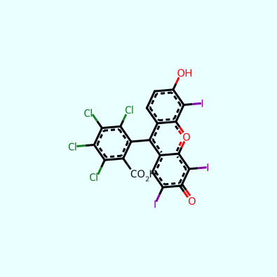 O=C(O)c1c(Cl)c(Cl)c(Cl)c(Cl)c1-c1c2cc(I)c(=O)c(I)c-2oc2c(I)c(O)ccc12